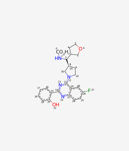 O=C(O)NC(C1CCOC1)[C@H]1CCN(c2nc(-c3ccccc3O)nc3ccc(F)cc23)C1